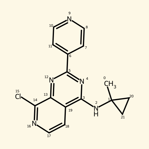 CC1(Nc2nc(-c3ccncc3)nc3c(Cl)nccc23)CC1